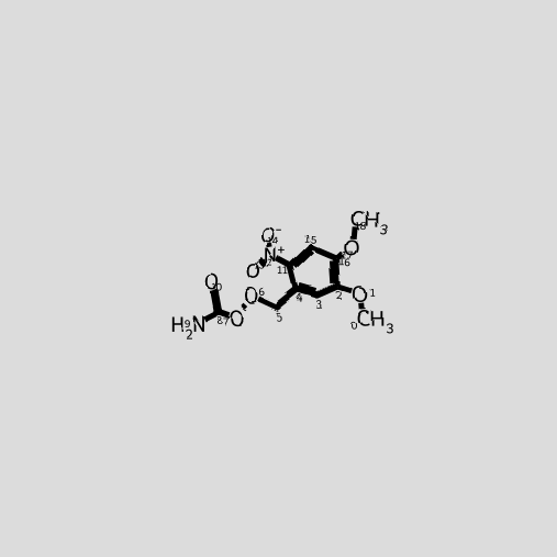 COc1cc(COOC(N)=O)c([N+](=O)[O-])cc1OC